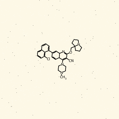 CN1CCN(C2=C(C#N)C(OCC34CCCN3CCC4)=NC3C=C(c4cccc5cccc(Cl)c45)C=CC23)CC1